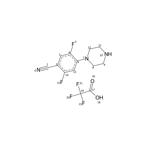 N#Cc1cc(F)c(N2CCNCC2)cc1F.O=C(O)C(F)(F)F